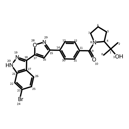 CC(C)(O)C1CCCN1C(=O)c1ccc(-c2cc(-c3n[nH]c4cc(Br)ccc34)on2)cc1